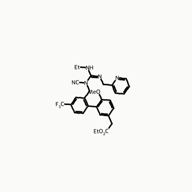 CCNC(=NCc1ccccn1)N(C#N)Cc1cc(C(F)(F)F)ccc1-c1cc(CC(=O)OCC)ccc1OC